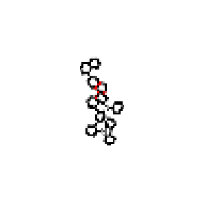 c1ccc(-c2cccc(-c3cc(-c4ccccc4-n4c5ccccc5c5ccccc54)ccc3N(c3ccccc3)c3ccc(-c4ccc(-c5cccc6ccccc56)cc4)cc3)c2)cc1